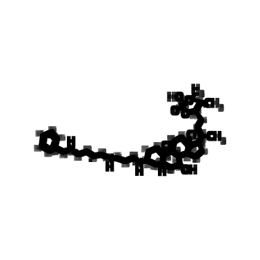 CC(C)[C@@H](CC[C@@H](C)[C@H]1CCC2C3C(CC[C@@]21C)[C@@]1(C)CC[C@H](NCCCNCCCCNCc2ccccc2)C[C@@H]1C[C@H]3O)OS(=O)(=O)O